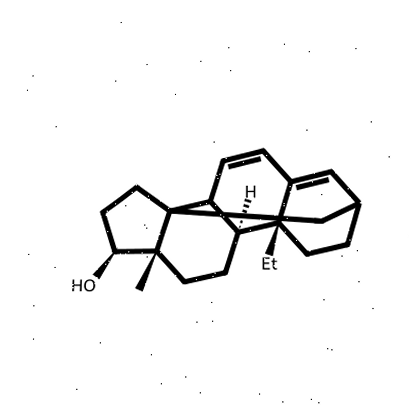 CC[C@]12CCC3C=C1C=CC1[C@@H]2CC[C@]2(C)[C@@H](O)CCC12C3